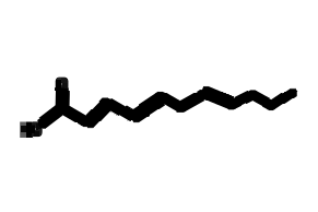 CCCC=CCC=CC=CC(=O)O